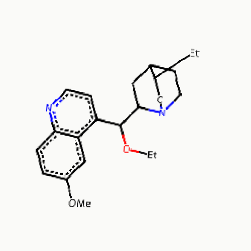 CCOC(c1ccnc2ccc(OC)cc12)C1CC2CCN1CC2CC